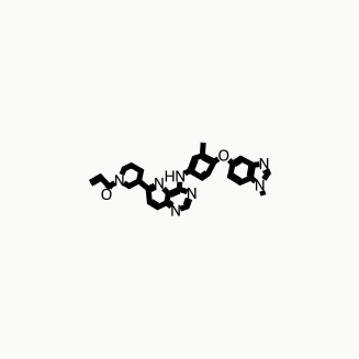 C=CC(=O)N1CCCC(c2ccc3ncnc(Nc4ccc(Oc5ccc6c(c5)ncn6C)c(C)c4)c3n2)C1